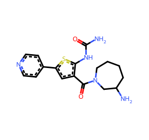 NC(=O)Nc1sc(-c2ccncc2)cc1C(=O)N1CCCCC(N)C1